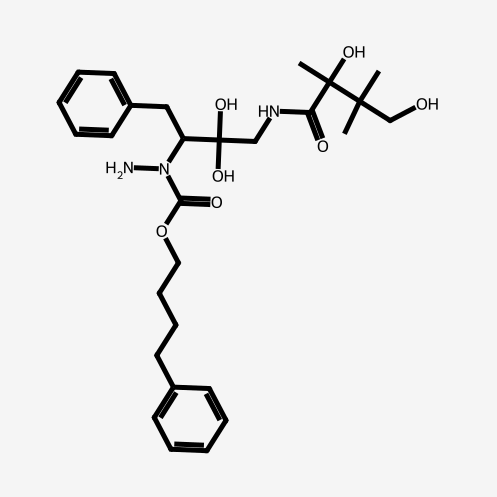 CC(C)(CO)C(C)(O)C(=O)NCC(O)(O)C(Cc1ccccc1)N(N)C(=O)OCCCCc1ccccc1